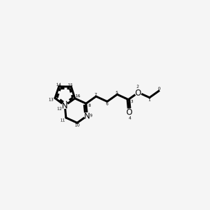 CCOC(=O)CCCC1=NCCn2cccc21